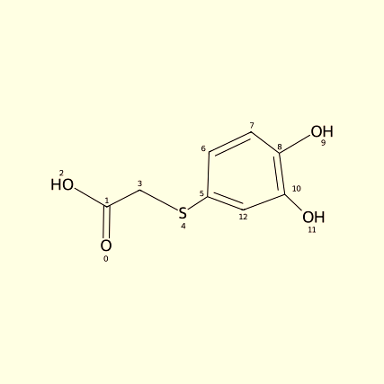 O=C(O)CSc1ccc(O)c(O)c1